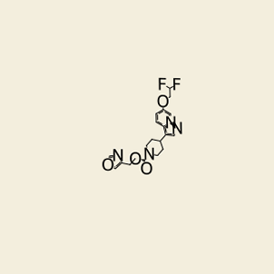 O=C(OCc1cocn1)N1CCC(c2cnn3cc(OCC(F)F)ccc23)CC1